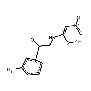 CS/C(=C\[N+](=O)[O-])NCC(O)c1cccc(C)c1